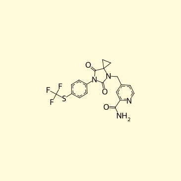 NC(=O)c1cc(CN2C(=O)N(c3ccc(SC(F)(F)F)cc3)C(=O)C23CC3)ccn1